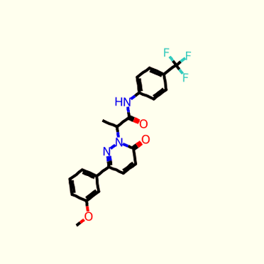 COc1cccc(-c2ccc(=O)n(C(C)C(=O)Nc3ccc(C(F)(F)F)cc3)n2)c1